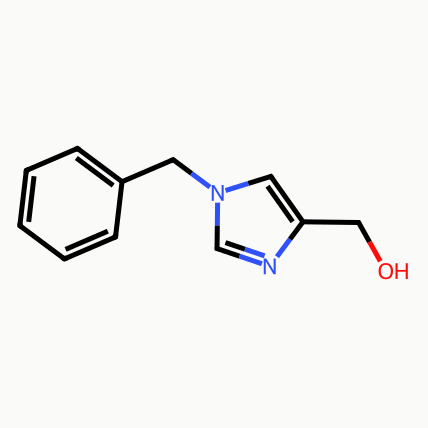 OCc1cn(Cc2ccccc2)cn1